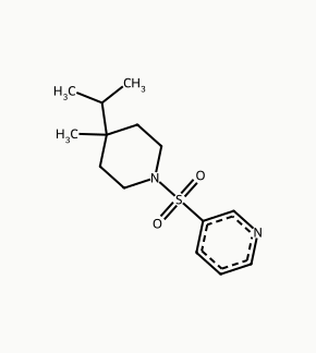 CC(C)C1(C)CCN(S(=O)(=O)c2cccnc2)CC1